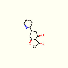 CCC(=O)C1C(=O)CC(c2ccccn2)CC1=O